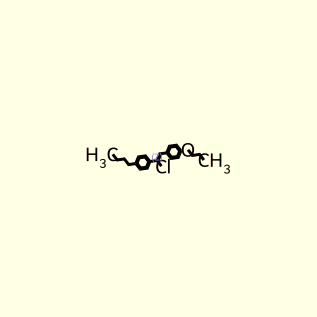 CCCCc1ccc(/C(Cl)=C/c2ccc(OCCC)cc2)cc1